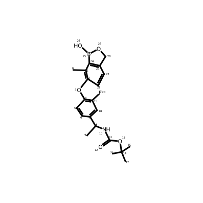 Cc1c(Oc2ccc(C(C)NC(=O)OC(C)(C)C)cc2F)ccc2c1B(O)OC2